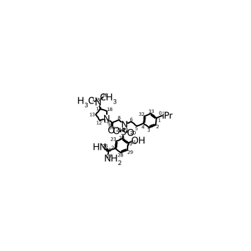 CC(C)c1ccc(CCN(CC(=O)N2CCC(N(C)C)C2)S(=O)(=O)c2cc(C(=N)N)ccc2O)cc1